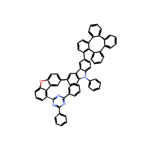 c1ccc(-c2nc(-c3ccccc3)nc(-c3cccc4oc5ccc(-c6ccc7c(c6)c6cc(-c8cccc9c8-c8ccccc8-c8ccccc8-c8ccccc8-9)ccc6n7-c6ccccc6)cc5c34)n2)cc1